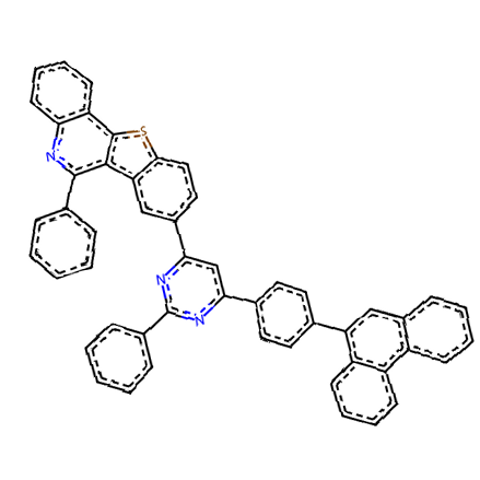 c1ccc(-c2nc(-c3ccc(-c4cc5ccccc5c5ccccc45)cc3)cc(-c3ccc4sc5c6ccccc6nc(-c6ccccc6)c5c4c3)n2)cc1